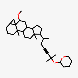 COC1CC2C3CCC(C(C)CC#CC(C)(C)OC4CCCCO4)C3(C)CCC2C2(C)CCCC3CC312